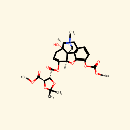 CN1CC[C@]23c4c5ccc(OC(=O)OC(C)(C)C)c4O[C@H]2C(OC(=O)[C@@H]2OC(C)(C)O[C@H]2C(=O)OC(C)(C)C)=CC[C@@]3(O)[C@H]1C5